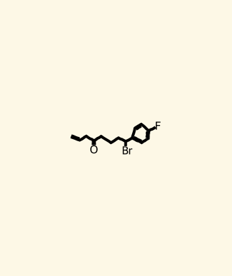 C=CCC(=O)CCCC(Br)c1ccc(F)cc1